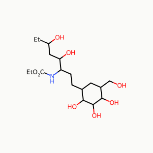 CCOC(=O)NC(CCC1CC(CO)C(O)C(O)C1O)C(O)CC(O)CC